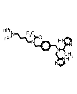 CCCN(CCC)CCCCN(Cc1ccc(CN(Cc2ncc[nH]2)C(C)c2ncc[nH]2)cc1)C(=O)C(F)(F)F